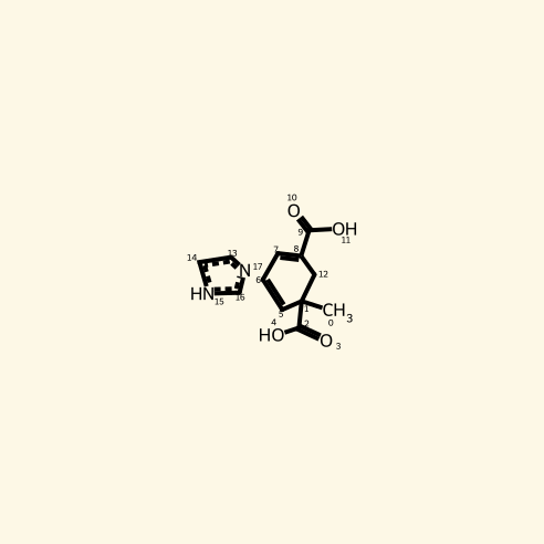 CC1(C(=O)O)C=CC=C(C(=O)O)C1.c1c[nH]cn1